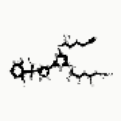 C#CCCC[C@H](CCC)Oc1cc(O[C@@H](C)[C@@H](C)C[C@@H](F)CNC)nc(-c2cc(C(C)(C)c3c(F)cccc3P)on2)n1